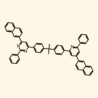 CC(C)(c1ccc(-c2cc(-c3ccc4ccccc4c3)cc(-c3ccccc3)n2)cc1)c1ccc(-c2cc(-c3ccc4ccccc4c3)nc(-c3ccccc3)n2)cc1